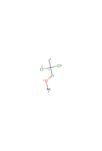 CC(=O)OCC(C)(Cl)Cl